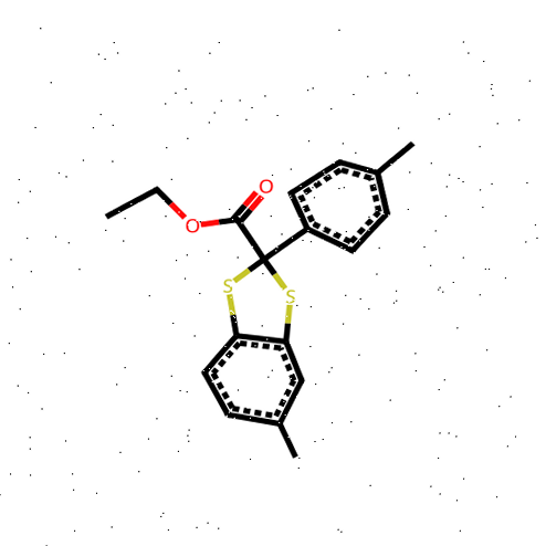 CCOC(=O)C1(c2ccc(C)cc2)Sc2ccc(C)cc2S1